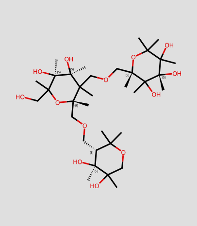 CC1(C)OCC(C)(O)[C@@](C)(O)[C@@H]1COC[C@]1(C)OC(C)(CO)[C@@](C)(O)[C@@](C)(O)C1(C)COC[C@]1(C)OC(C)(C)C(C)(O)[C@](C)(O)C1(C)O